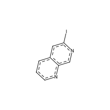 Ic1cc2cccnc2cn1